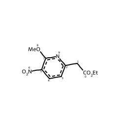 CCOC(=O)Cc1ccc([N+](=O)[O-])c(OC)n1